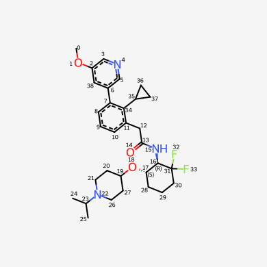 COc1cncc(-c2cccc(CC(=O)N[C@@H]3[C@@H](OC4CCN(C(C)C)CC4)CCCC3(F)F)c2C2CC2)c1